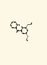 C=CCc1cc(CC=C)c2sc3ccccc3c(=O)c2c1